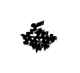 COc1cc(C)c(OCCCC(=O)O)cc1-c1ccc(C(F)(F)F)cc1CN(C1CCC1)[C@@H](C)[C@H](O)c1cc(C(F)(F)F)cc(C(F)(F)F)c1